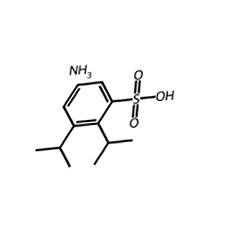 CC(C)c1cccc(S(=O)(=O)O)c1C(C)C.N